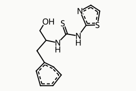 OCC(Cc1ccccc1)NC(=S)Nc1nccs1